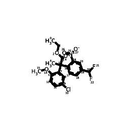 CCOC(=O)C(C)(c1cc(Cl)ccc1OC)c1ccc(C(F)F)cc1[N+](=O)[O-]